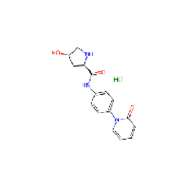 Cl.O=C(Nc1ccc(-n2ccccc2=O)cc1)[C@H]1C[C@@H](O)CN1